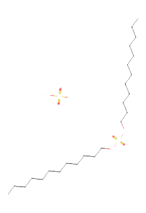 CCCCCCCCCCCCOS(=O)(=O)OCCCCCCCCCCCC.O=S(=O)(O)O